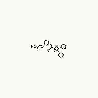 N#CC(=Cc1cccc(OCC(=O)O)c1)c1nc(-c2ccccc2)c(-c2ccccc2)o1